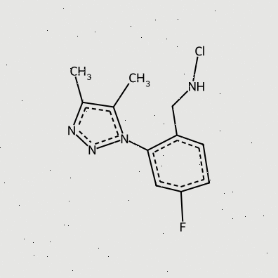 Cc1nnn(-c2cc(F)ccc2CNCl)c1C